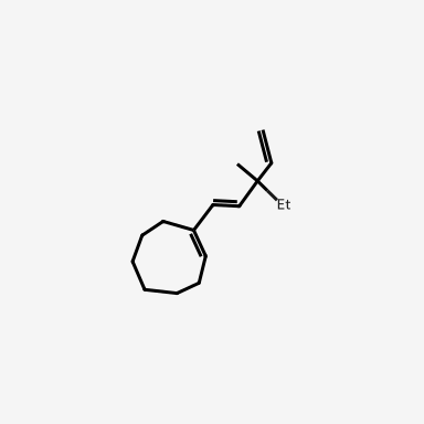 C=CC(C)(C=CC1=CCCCCCC1)CC